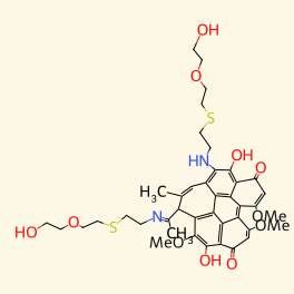 COc1c(O)c2c(=O)cc(OC)c3c4c(OC)cc(=O)c5c(O)c(NCCSCCOCCO)c6c(c(c1C(/C(C)=N/CCSCCOCCO)C(C)=C6)c23)c54